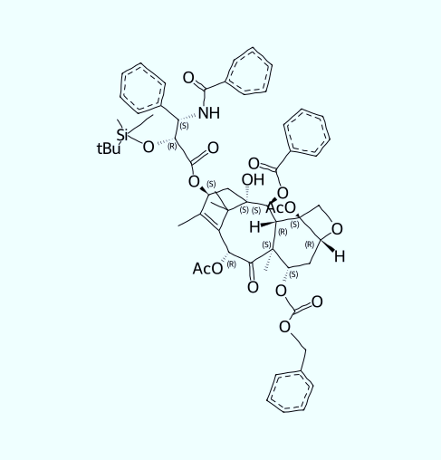 CC(=O)O[C@H]1C(=O)[C@]2(C)[C@@H](OC(=O)OCc3ccccc3)C[C@H]3OC[C@@]3(OC(C)=O)[C@H]2[C@H](OC(=O)c2ccccc2)[C@]2(O)C[C@H](OC(=O)[C@H](O[Si](C)(C)C(C)(C)C)[C@@H](NC(=O)c3ccccc3)c3ccccc3)C(C)=C1C2(C)C